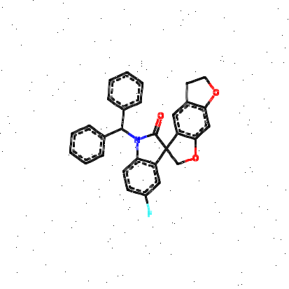 O=C1N(C(c2ccccc2)c2ccccc2)c2ccc(F)cc2C12COc1cc3c(cc12)CCO3